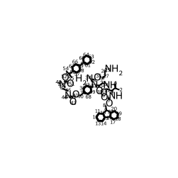 CC(C)[C@H](NC(=O)OCC1c2ccccc2-c2ccccc21)C(=O)N[C@@H](CCCN)C(=O)N(C(N)=O)c1ccc(COC(=O)N(C)CCN(C)C(=O)OC(C)(C)c2ccc(-c3ccccc3)cc2)cc1